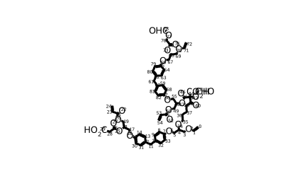 C=COCC(COc1ccc(Cc2ccc(OCC(COC(=O)C=C)OC(=O)CC(=O)O)cc2)cc1)OCCCCC(=O)C(OC=O)(C(=O)O)C(=O)OC(COC(=O)C=C)COc1ccc(Cc2ccc(OCC(COC=C)OC(=O)COC=O)cc2)cc1